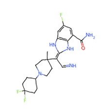 CC1(/C(C=N)=C2\Nc3cc(F)cc(C(N)=O)c3N2)CCN(C2CCC(F)(F)CC2)CC1